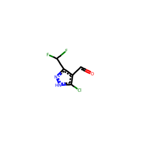 O=Cc1c(C(F)F)n[nH]c1Cl